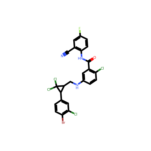 N#Cc1cc(F)ccc1NC(=O)c1cc(NCC2C(c3ccc(Br)c(Cl)c3)C2(Cl)Cl)ccc1Cl